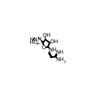 [N-]=[N+]=N[C@]1(CO)OC(N/C=C\C(=N)N)[C@H](O)[C@@H]1O